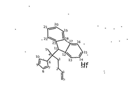 C=CCCC(C)(C1C=CC=C1)C1c2ccccc2-c2ccccc21.[Hf]